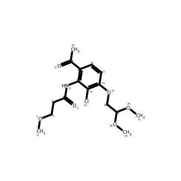 COCCC(=O)Nc1c(C(C)=O)ccc(OCC(OC)OC)c1Cl